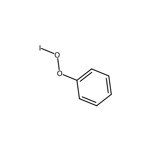 IOOc1ccccc1